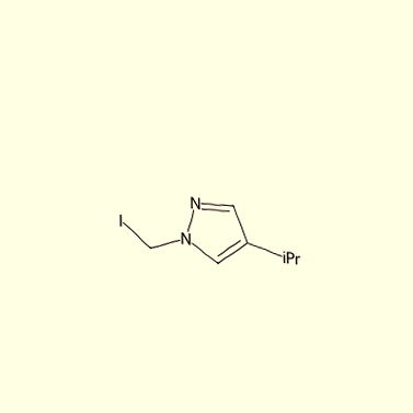 CC(C)c1cnn(CI)c1